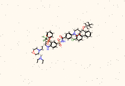 CCN(CC)C[C@@H]1COCCN1CC[C@H](CSc1ccccc1)Nc1ccc(S(=O)(=O)NC(=O)c2ccc(N3CCC([C@@H](O[Si](C)(C)C(C)(C)C)c4ccccc4-c4ccc(Cl)cc4)CC3)cc2)cc1S(=O)(=O)C(F)(F)F